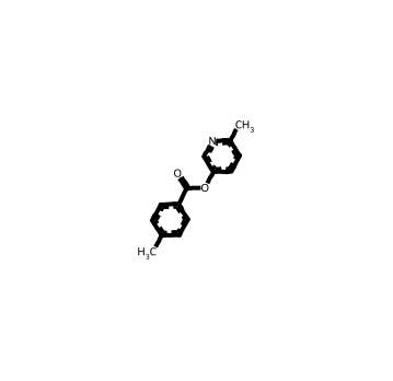 Cc1ccc(C(=O)Oc2ccc(C)nc2)cc1